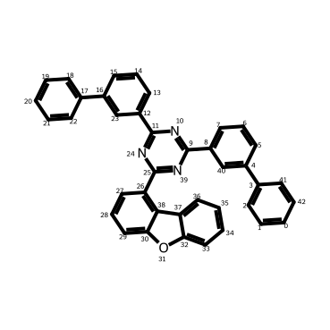 c1ccc(-c2cccc(-c3nc(-c4cccc(-c5ccccc5)c4)nc(-c4cccc5oc6ccccc6c45)n3)c2)cc1